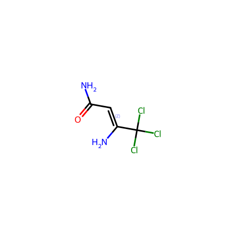 NC(=O)/C=C(\N)C(Cl)(Cl)Cl